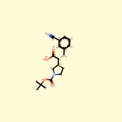 CC(C)(C)OC(=O)N1CC[C@H]([C@@H](Cc2cccc(C#N)c2)C(=O)O)C1